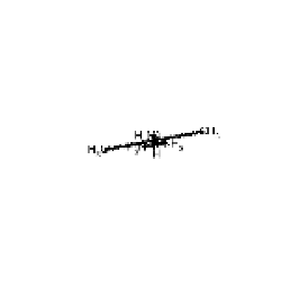 CCCCCCCCCCCCCCCCCCN(CCCCCCCCCCCCCCCCCC)C(N)=O.NCCCCNCCCN